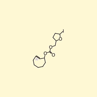 O=C(OCC1CCC(I)O1)OC1/C=C/CCCCC1